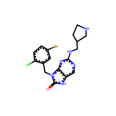 O=c1[nH]c2cnc(NCC3CCNC3)nc2n1Cc1cc(Br)ccc1Cl